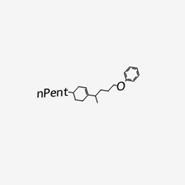 CCCCCC1CC=C(C(C)CCCOc2ccccc2)CC1